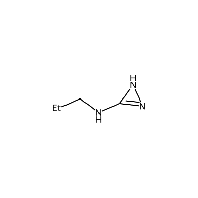 CCCNC1=NN1